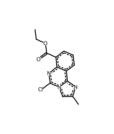 CCOC(=O)c1cccc2c1nc(Cl)n1cc(C)nc21